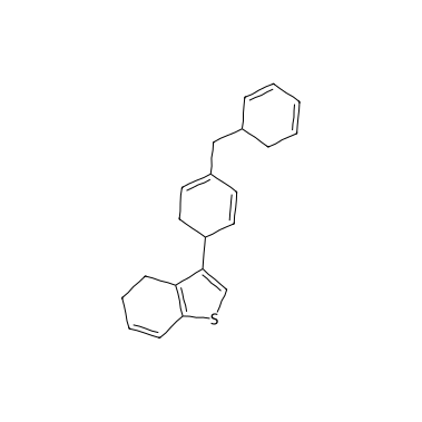 C1=CCC(CC2=CCC(c3csc4c3CCC=C4)C=C2)C=C1